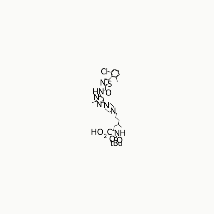 Cc1nc(NC(=O)c2ncc(-c3c(C)cccc3Cl)s2)cc(N2CCN(CCCC(C)CC(NC(=O)OC(C)(C)C)C(=O)O)CC2)n1